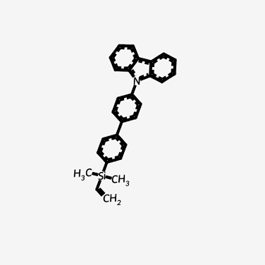 C=C[Si](C)(C)c1ccc(-c2ccc(-n3c4ccccc4c4ccccc43)cc2)cc1